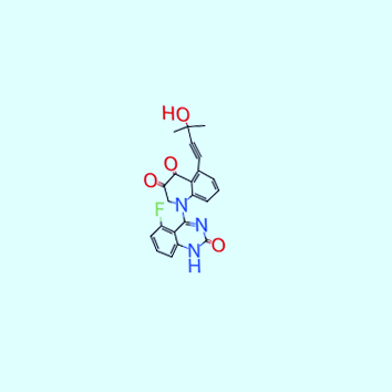 CC(C)(O)C#Cc1cccc2c1C(=O)C(=O)CN2c1nc(=O)[nH]c2cccc(F)c12